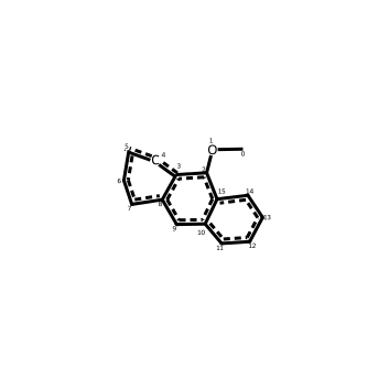 COc1c2c[c]ccc2cc2ccccc12